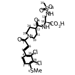 CSc1ccc(C=CC(=O)N2CCC(C(=O)N[C@@H](CNS(C)(=O)=O)C(=O)O)CC2)c(Cl)c1Cl